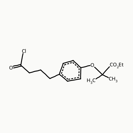 CCOC(=O)C(C)(C)Oc1ccc(CCCC(=O)Cl)cc1